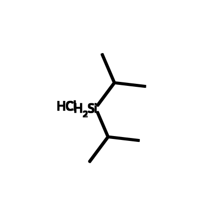 CC(C)[SiH2]C(C)C.Cl